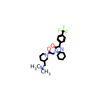 CN(C)CC1CCCN(C(=O)CN2C(=O)C(c3ccc(C(F)(F)F)cc3)=NC23CCCCC3)C1